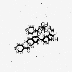 Cc1c[nH]c2ncc(-c3cc4c(c([C@@H]5COCCN5C(=O)OC(C)(C)C)c3)CCN(C(=O)C3CCOCC3)C4)cc12